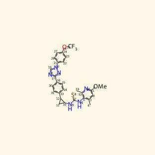 COc1cc(C)c(NC(=S)NC2CC2c2ccc(-c3ncn(-c4ccc(OC(F)(F)F)cc4)n3)cc2)c(C)n1